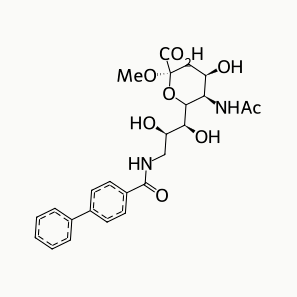 CO[C@]1(C(=O)O)C[C@@H](O)[C@@H](NC(C)=O)C([C@@H](O)[C@H](O)CNC(=O)c2ccc(-c3ccccc3)cc2)O1